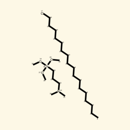 CCCCCCCCCCCCCCCCCCl.CO[Si](CCCN(C)C)(OC)OC